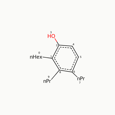 CCCCCCc1c(O)ccc(CCC)c1CCC